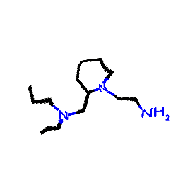 CCCN(CC)CC1CCCCN1CCN